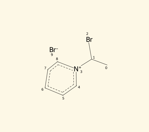 CC(Br)[n+]1ccccc1.[Br-]